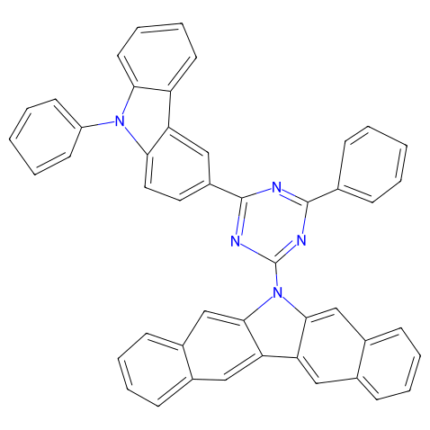 c1ccc(-c2nc(-c3ccc4c(c3)c3ccccc3n4-c3ccccc3)nc(-n3c4cc5ccccc5cc4c4cc5ccccc5cc43)n2)cc1